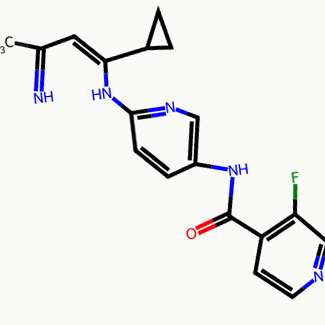 N=C(/C=C(\Nc1ccc(NC(=O)c2ccncc2F)cn1)C1CC1)C(F)(F)F